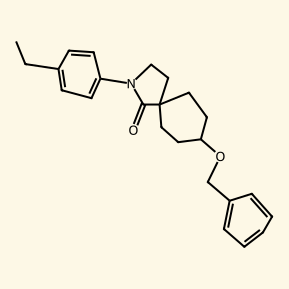 CCc1ccc(N2CCC3(CCC(OCc4ccccc4)CC3)C2=O)cc1